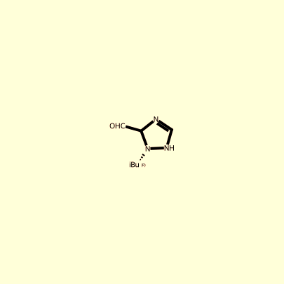 CC[C@@H](C)N1NC=NC1C=O